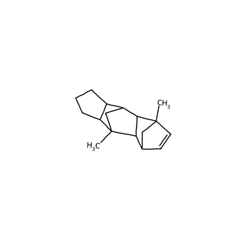 CC12C=CC(C1)C1C2C2CC1(C)C1CCCC21